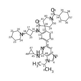 CC(C)n1cnc2cc(-c3ccc4c(c3)N(C3CC(N5CCCCC5)C3)C(=O)C43CCN(C(=O)C4CCCCC4)CC3)nc(NC3CC3)c21